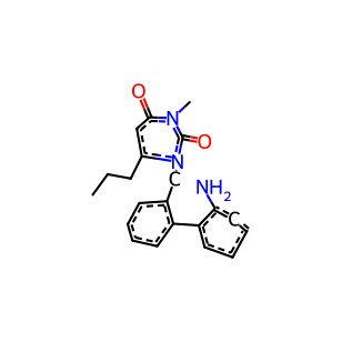 CCCc1cc(=O)n(C)c(=O)n1Cc1ccccc1-c1ccccc1N